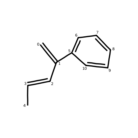 C=C(C=CC)c1ccccc1